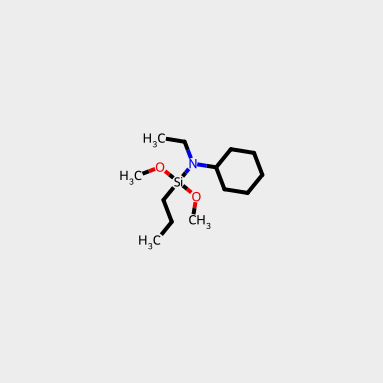 CCC[Si](OC)(OC)N(CC)C1CCCCC1